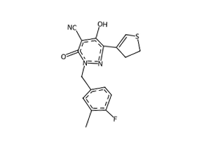 Cc1cc(Cn2nc(C3=CSCC3)c(O)c(C#N)c2=O)ccc1F